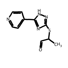 CC(C=O)Sc1n[nH]c(-c2ccncc2)n1